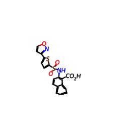 O=C(O)c1c(NS(=O)(=O)c2ccc(-c3ccon3)s2)ccc2ccccc12